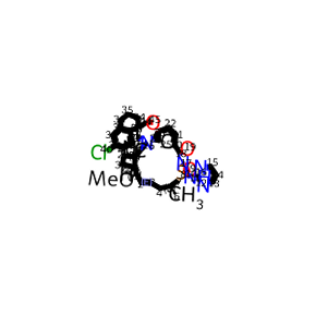 CO[C@H]1/C=C/C[C@H](C)CS(=O)(Nc2ncccn2)=NC(=O)c2ccc3c(c2)N(C[C@@H]2CC[C@H]21)C[C@@]1(CCCc2cc(Cl)ccc21)CO3